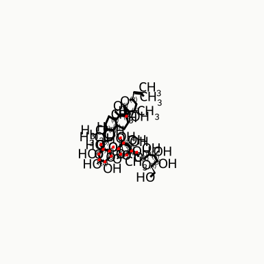 CC(C)=C[C@H]1C[C@](C)(O)[C@@H]2[C@H]3CC[C@@H]4[C@@]5(C)CC[C@H](OC6OC[C@H](O)[C@H](O[C@@H]7O[C@H](CO[C@@H]8O[C@H](CO)[C@@H](O)[C@H](O)[C@H]8O)[C@@H](O)[C@H](O)[C@H]7O[C@@H]7OC[C@@H](O)[C@H](O)[C@H]7O)[C@H]6O[C@@H]6O[C@@H](C)[C@H](O)[C@@H](O)[C@H]6O)C(C)(C)[C@@H]5CC[C@@]4(C)C34CO[C@@]2(C4)O1